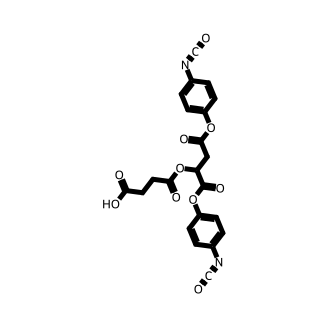 O=C=Nc1ccc(OC(=O)CC(OC(=O)CCC(=O)O)C(=O)Oc2ccc(N=C=O)cc2)cc1